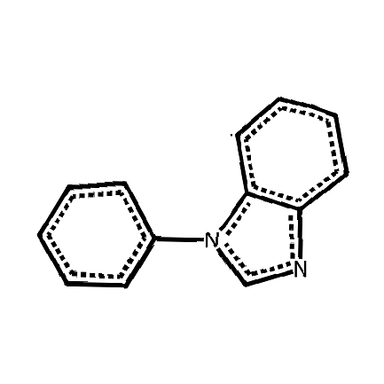 [c]1cccc2ncn(-c3ccccc3)c12